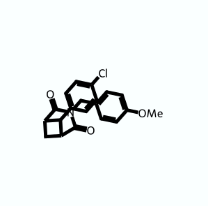 COc1ccc(CN2C(=O)C3CC(C2=O)C3c2ccc(Cl)cc2)cc1